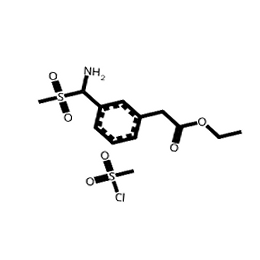 CCOC(=O)Cc1cccc(C(N)S(C)(=O)=O)c1.CS(=O)(=O)Cl